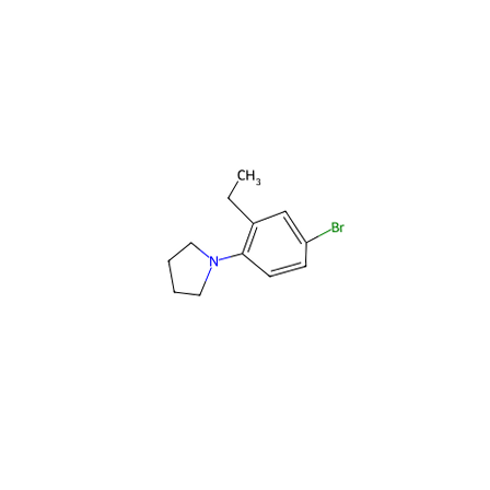 CCc1cc(Br)ccc1N1CCCC1